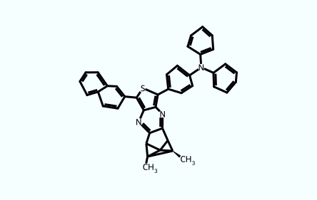 CC12C3c4nc5c(-c6ccc7ccccc7c6)sc(-c6ccc(N(c7ccccc7)c7ccccc7)cc6)c5nc4C4C31[C@]42C